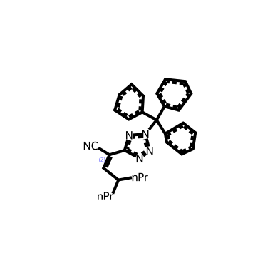 CCCC(/C=C(/C#N)c1nnn(C(c2ccccc2)(c2ccccc2)c2ccccc2)n1)CCC